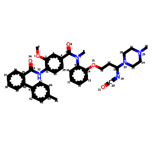 COc1cc(C(=O)N(C)c2ccccc2OCCC(N=C=O)N2CCN(C)CC2)ccc1NC(=O)c1ccccc1-c1ccc(C)cc1